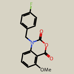 COc1cccc2c1c(=O)oc(=O)n2Cc1ccc(F)cc1